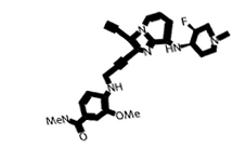 C#Cc1c(C#CCNc2ccc(C(=O)NC)cc2OC)nc2c(N[C@@H]3CCN(C)C[C@@H]3F)cccn12